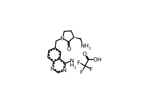 NC[C@@H]1CCN(Cc2ccc3ncnc(N)c3c2)C1=O.O=C(O)C(F)(F)F